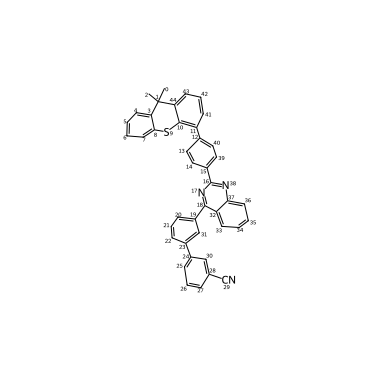 CC1(C)c2ccccc2Sc2c(-c3ccc(-c4nc(-c5cccc(-c6cccc(C#N)c6)c5)c5ccccc5n4)cc3)cccc21